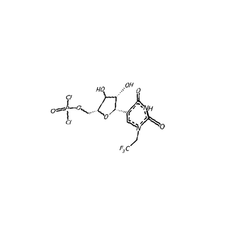 O=c1[nH]c(=O)n(CC(F)(F)F)cc1[C@@H]1O[C@H](COP(=O)(Cl)Cl)C(O)[C@@H]1O